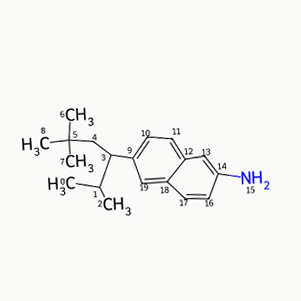 CC(C)C(CC(C)(C)C)c1ccc2cc(N)ccc2c1